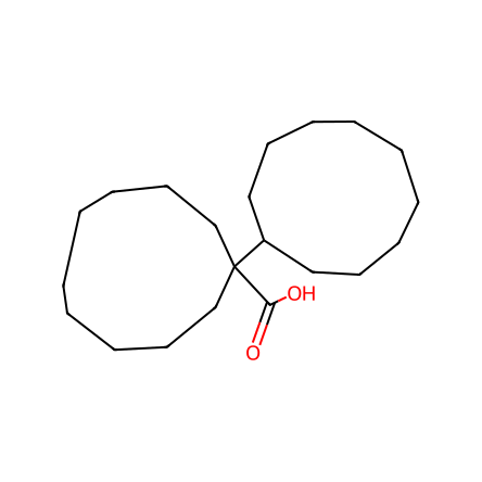 O=C(O)C1(C2CCCCCCCCC2)CCCCCCCCC1